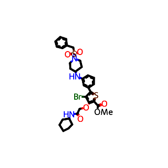 COC(=O)c1sc(-c2cccc(NC3CCN(S(=O)(=O)Cc4ccccc4)CC3)c2)c(Br)c1OCC(=O)NC1CCCCC1